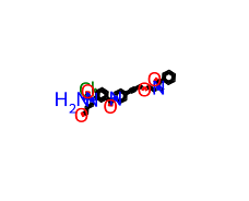 CN(CCOCC#CC1CCN(C(=O)c2ccc(Cl)c(N(CCC=O)C(N)=O)c2)CC1)C(=O)C1CCCCC1